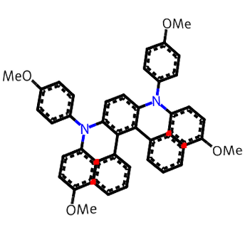 COc1ccc(N(c2ccc(OC)cc2)c2ccc(N(c3ccc(OC)cc3)c3ccc(OC)cc3)c(-c3ccccc3)c2-c2ccccc2)cc1